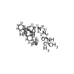 CC(C)NC(=O)CN1CCN(C[C@H]2CC[C@@H]3[C@H](O2)c2cc(C(F)(F)F)ccc2N[C@H]3c2ccccc2)CC1